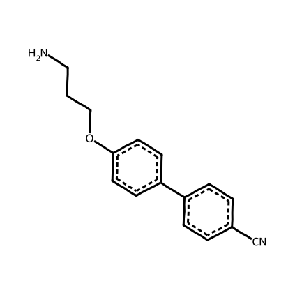 N#Cc1ccc(-c2ccc(OCCCN)cc2)cc1